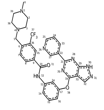 CN1CCN(Cc2ccc(C(=O)Nc3cccc(Oc4nc(-c5cccnc5)nc5[nH]ncc45)c3)cc2C(F)(F)F)CC1